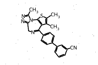 Cc1sc2c(c1C)C(c1ccc(-c3cccc(C#N)c3)cc1)=NCc1nnc(C)n1-2